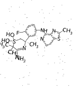 Cc1nc2c(Nc3ccc(F)c([C@]4(C)CS(O)(O)C(C)(C)C(N)=N4)c3)nccc2s1